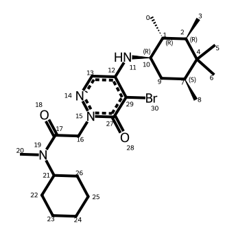 C[C@@H]1[C@@H](C)C(C)(C)[C@@H](C)C[C@H]1Nc1cnn(CC(=O)N(C)C2CCCCC2)c(=O)c1Br